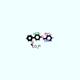 Cl.O=C(O)COc1ccccc1C1CCC(OCC2NCCCC2O)CC1